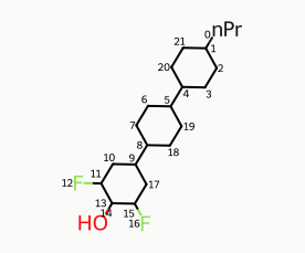 CCCC1CCC(C2CCC(C3CC(F)C(O)C(F)C3)CC2)CC1